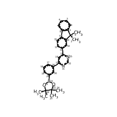 CC1(C)c2ccccc2-c2ccc(-c3cc(-c4cccc(B5OC(C)(C)C(C)(C)O5)c4)ncn3)cc21